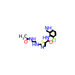 CC(=O)NCCNc1ncc(C(=O)Nc2c(Cl)cccc2CN)s1